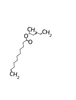 C=CCCCCCCCCC(=O)OC(C)CCC=C